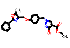 CCOC(=O)c1cn(Cc2ccc(OCc3nc(-c4ccccc4)oc3C)cc2)nc1O